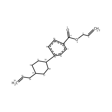 C=CCOC(=O)c1ccc(C2CCC(CC=C)CC2)cc1